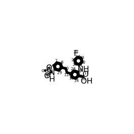 CS(=O)(=O)Nc1cccc(CCc2ccc(C(=O)O)c(Nc3ccc(F)cc3)c2)c1